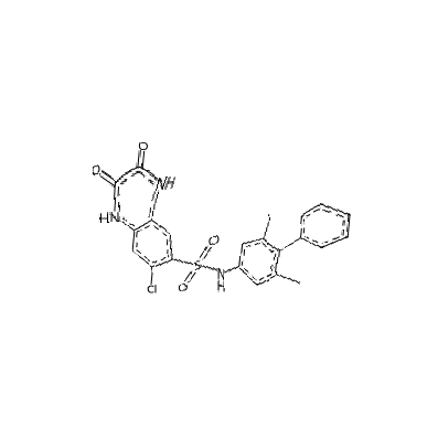 Cc1cc(NS(=O)(=O)c2cc3[nH]c(=O)c(=O)[nH]c3cc2Cl)cc(C)c1-c1ccccc1